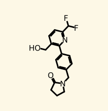 O=C1CCCN1Cc1ccc(-c2nc(C(F)F)ccc2CO)cc1